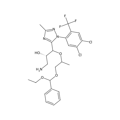 CCOC(OCC(C)OC(c1nc(C)nn1-c1cc(Cl)c(Cl)cc1C(F)(F)F)[C@@H](O)CN)c1ccccc1